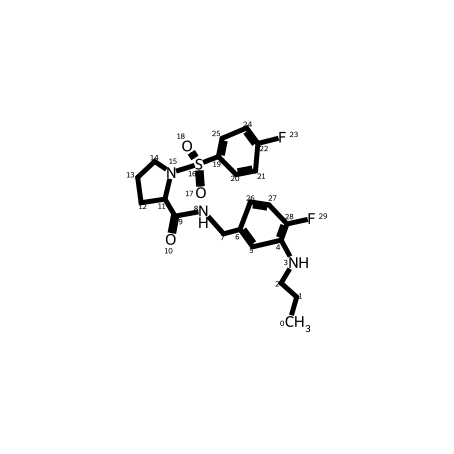 CCCNc1cc(CNC(=O)C2CCCN2S(=O)(=O)c2ccc(F)cc2)ccc1F